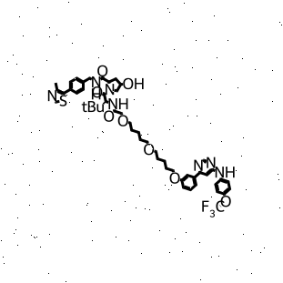 Cc1ncsc1-c1ccc(CNC(=O)C2CC(O)CN2C(=O)[C@@H](NC(=O)COCCCCCOCCCCCOc2cccc(-c3cc(Nc4ccc(OC(F)(F)F)cc4)ncn3)c2)C(C)(C)C)cc1